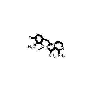 Cc1c(F)ccc(Cc2nc(C)c3c(N)nccn23)c1OC(C)C